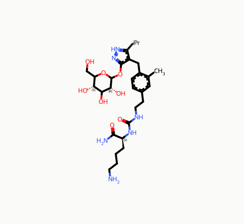 Cc1cc(CCNC(=O)N[C@@H](CCCCN)C(N)=O)ccc1Cc1c(OC2OC(CO)[C@@H](O)C(O)[C@H]2O)n[nH]c1C(C)C